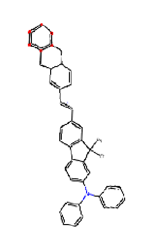 CCC1(CC)c2cc(/C=C/C3=CC4C5C6=C(CCC=C6)C(c6ccccc65)C4C=C3)ccc2-c2ccc(N(c3ccccc3)c3ccccc3)cc21